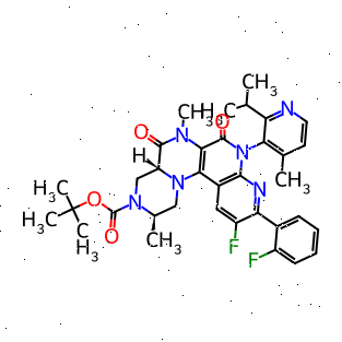 Cc1ccnc(C(C)C)c1-n1c(=O)c2c(c3cc(F)c(-c4ccccc4F)nc31)N1C[C@@H](C)N(C(=O)OC(C)(C)C)C[C@@H]1C(=O)N2C